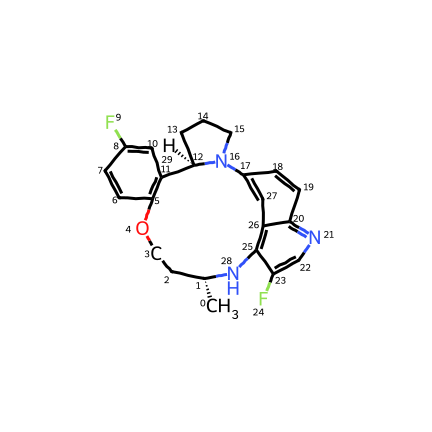 C[C@@H]1CCOc2ccc(F)cc2[C@H]2CCCN2c2ccc3ncc(F)c(c3c2)N1